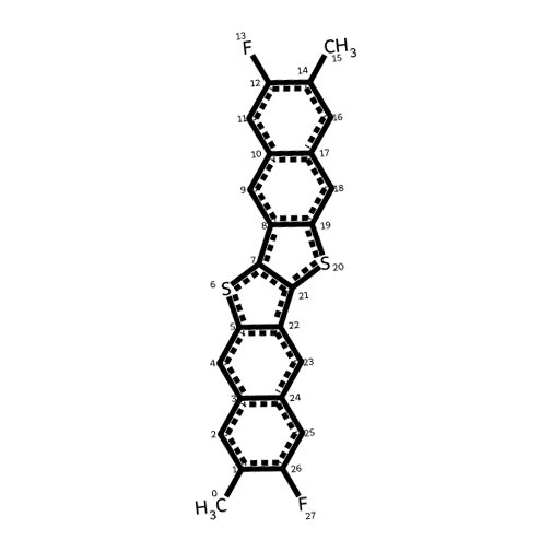 Cc1cc2cc3sc4c5cc6cc(F)c(C)cc6cc5sc4c3cc2cc1F